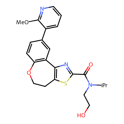 COc1ncccc1-c1ccc2c(c1)-c1nc(C(=O)N(CCO)C(C)C)sc1CCO2